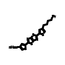 CCCCCCc1csc(-c2nc3sc(-c4cc(CCCCC(C)C)cs4)nc3s2)c1